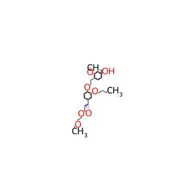 CCCCOc1cc(/C=C/C(=O)OCCOCC)ccc1OCCc1ccc(O)cc1OC